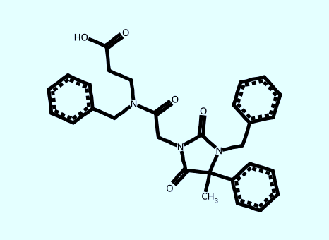 CC1(c2ccccc2)C(=O)N(CC(=O)N(CCC(=O)O)Cc2ccccc2)C(=O)N1Cc1ccccc1